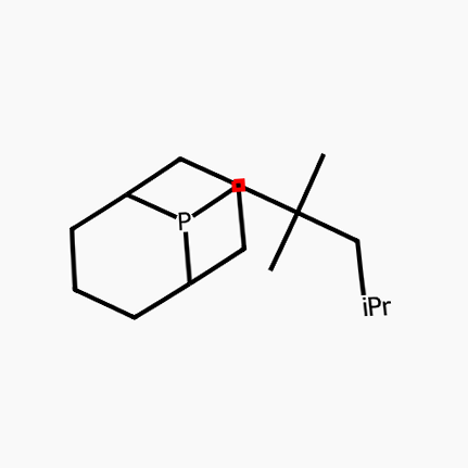 CC(C)CC(C)(C)CP1C2CCCC1CCC2